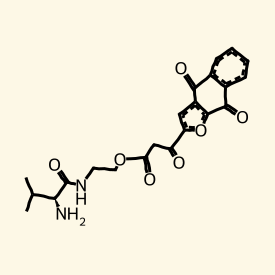 CC(C)[C@H](N)C(=O)NCCOC(=O)CC(=O)c1cc2c(o1)C(=O)c1ccccc1C2=O